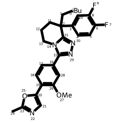 CCC(C)CC1(c2ccc(F)c(F)c2)CCCn2c(-c3ccc(-c4cnc(C)o4)c(OC)c3)nnc21